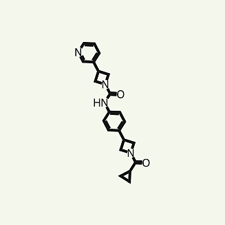 O=C(Nc1ccc(C2CN(C(=O)C3CC3)C2)cc1)N1CC(c2cccnc2)C1